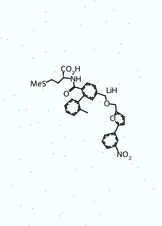 CSCC[C@H](NC(=O)c1ccc(COCc2ccc(-c3cccc([N+](=O)[O-])c3)o2)cc1-c1ccccc1C)C(=O)O.[LiH]